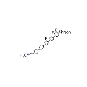 C/C=C/CCC1CCC(C2CC=C(c3ccc(-c4ccc(-c5ccc(OCCCCCCCCC)c(F)c5F)cc4)c(F)c3)CC2)CC1